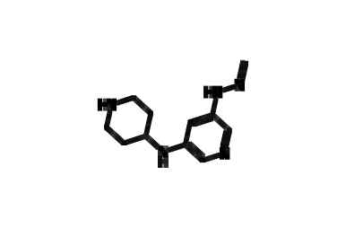 C=NNc1cncc(NC2CCNCC2)c1